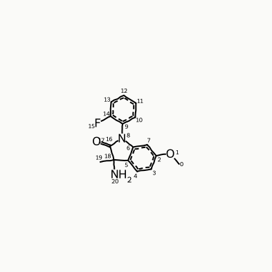 COc1ccc2c(c1)N(c1ccccc1F)C(=O)C2(C)N